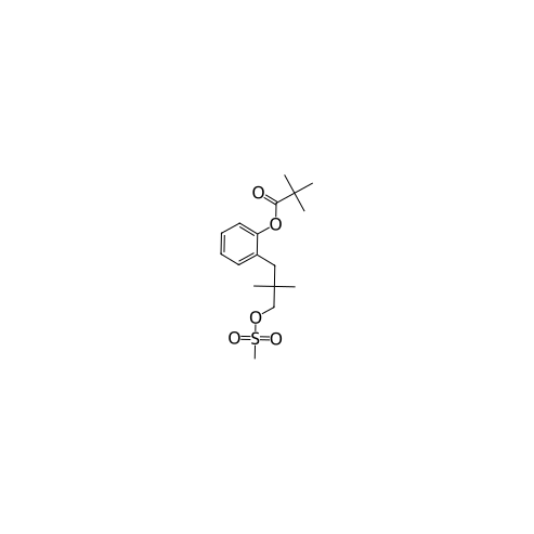 CC(C)(COS(C)(=O)=O)Cc1ccccc1OC(=O)C(C)(C)C